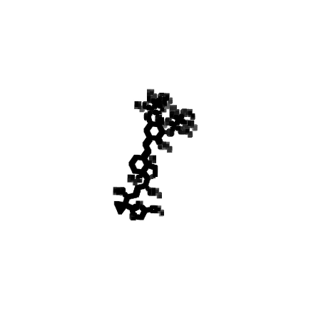 C=C1/C(=C\C=C2/CCC[C@]3(C)[C@@H]([C@H](C)/C=C/[C@H](O)C4(C5=NC(C)CO5)CC4)CC[C@@H]23)C[C@@H](O[Si](C)(C)C(C)(C)C)C[C@@H]1O[Si](C)(C)C(C)(C)C